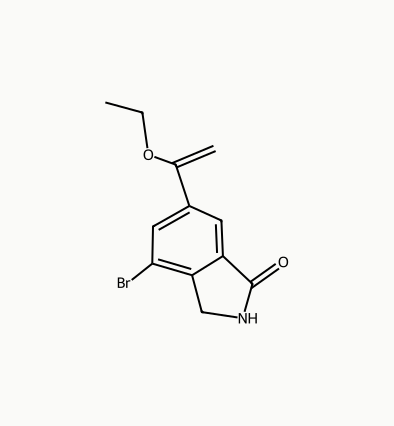 C=C(OCC)c1cc(Br)c2c(c1)C(=O)NC2